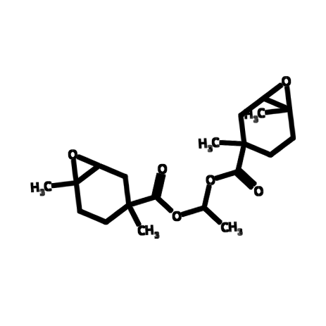 CC(OC(=O)C1(C)CCC2(C)OC2C1)OC(=O)C1(C)CCC2(C)OC2C1